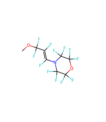 COC(F)(F)C(F)=C(F)N1C(F)(F)C(F)(F)OC(F)(F)C1(F)F